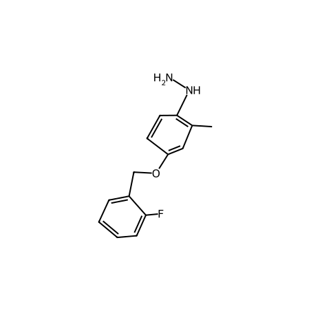 Cc1cc(OCc2ccccc2F)ccc1NN